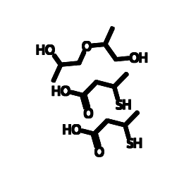 CC(O)COC(C)CO.CC(S)CC(=O)O.CC(S)CC(=O)O